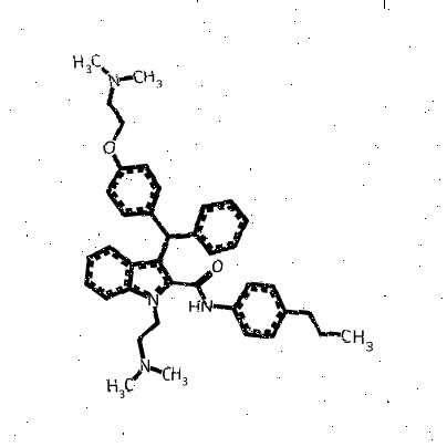 CCCc1ccc(NC(=O)c2c(C(c3ccccc3)c3ccc(OCCN(C)C)cc3)c3ccccc3n2CCN(C)C)cc1